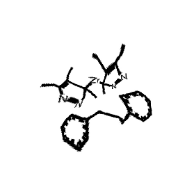 CC1=C(C)[C](C)([Zr][C]2(C)N=NC(C)=C2C)N=N1.c1ccc(CCc2ccccc2)cc1